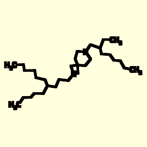 CCCCCCC(CCCCC)CCCN1CC2(CCN(CC(CC)CCCCCC)CC2)C1